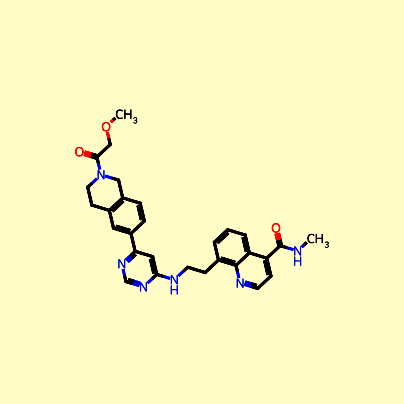 CNC(=O)c1ccnc2c(CCNc3cc(-c4ccc5c(c4)CCN(C(=O)COC)C5)ncn3)cccc12